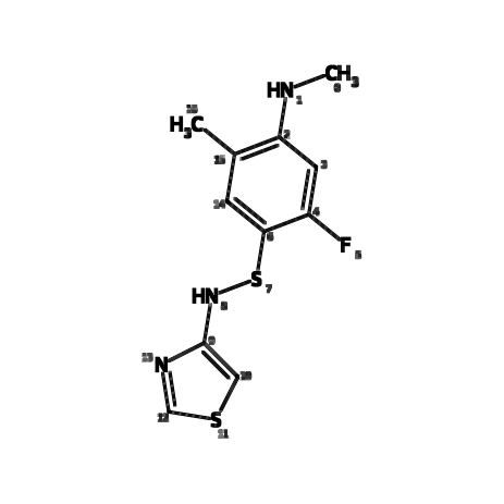 CNc1cc(F)c(SNc2cscn2)cc1C